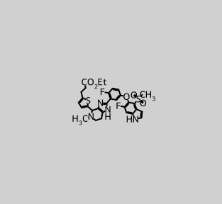 CCOC(=O)CCc1ccc(C2c3nc(-c4cc(Oc5c(F)cc6[nH]ccc6c5S(C)(=O)=O)ccc4F)[nH]c3CCN2C)s1